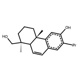 CC(C)c1cc2c(cc1O)[C@@]1(C)CCC[C@](C)(CO)C1C=C2